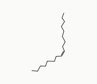 [CH2]CCCCCCC/C=C\CCCCCCC